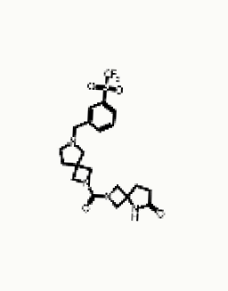 O=C1CCC2(CN(C(=O)N3CC4(CCN(Cc5cccc(S(=O)(=O)C(F)(F)F)c5)C4)C3)C2)N1